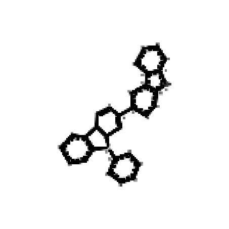 C1=CC2c3ccccc3N(c3ccccc3)C2C=C1c1ccc2[nH]c3ccccc3c2c1